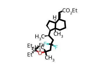 CCOC(=O)C=C1CCC[C@]2(C)[C@@H]([C@H](C)CC(F)(F)CC(C)(C)O[Si](CC)(CC)CC)CC[C@@H]12